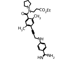 CCOC(=O)CCN(C(=O)c1cc(C)c(C#CCNc2ccc(C(=N)N)cc2)cc1C)N1CCCC1